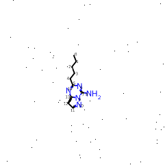 CCCCCc1nc(N)n2nccc2n1